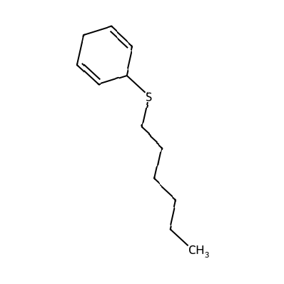 CCCCCCSC1C=CCC=C1